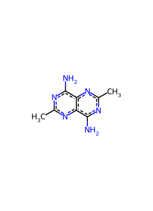 Cc1nc(N)c2nc(C)nc(N)c2n1